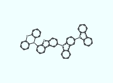 c1ccc2c(c1)Oc1ccccc1B2c1cccc2c1oc1ccc(-n3c4ccccc4c4cc(-n5c6ccccc6c6ccccc65)ccc43)cc12